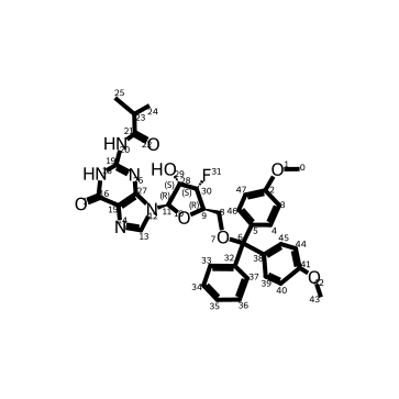 COc1ccc(C(OC[C@H]2O[C@@H](n3cnc4c(=O)[nH]c(NC(=O)C(C)C)nc43)[C@H](O)[C@@H]2F)(c2ccccc2)c2ccc(OC)cc2)cc1